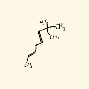 C/C=C/C/C=C/C(C)(C)C